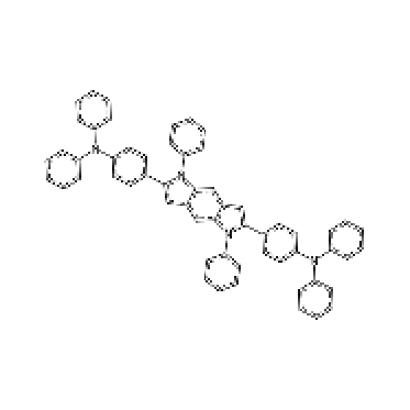 c1ccc(N(c2ccccc2)c2ccc(-c3cc4cc5c(cc(-c6ccc(N(c7ccccc7)c7ccccc7)cc6)n5-c5ccccc5)cc4n3-c3ccccc3)cc2)cc1